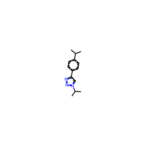 CC(C)c1ccc(-c2cn(C(C)C)nn2)cc1